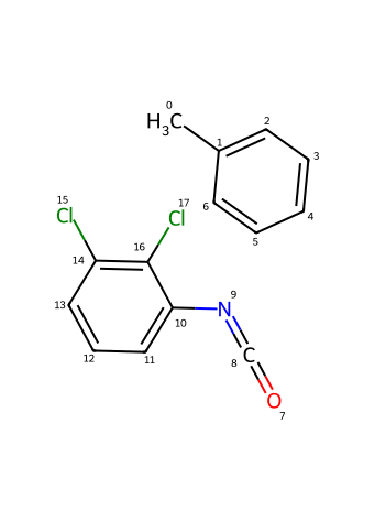 Cc1ccccc1.O=C=Nc1cccc(Cl)c1Cl